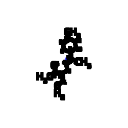 CCN(C/C=C(\C)C1CC=C(C)CC1)C(C)=O